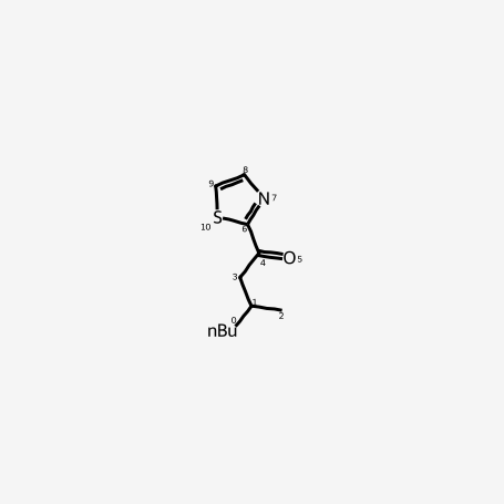 CCCCC(C)CC(=O)c1nccs1